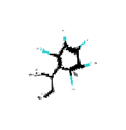 CC(=O)OC(CC#N)c1c(F)c(F)c(F)c(F)c1F